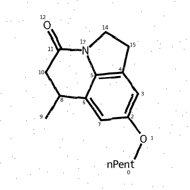 CCCCCOc1cc2c3c(c1)C(C)CC(=O)N3CC2